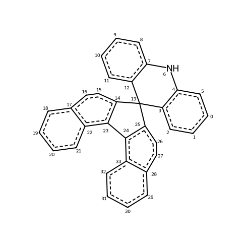 c1ccc2c(c1)Nc1ccccc1C21c2ccc3ccccc3c2-c2c1ccc1ccccc21